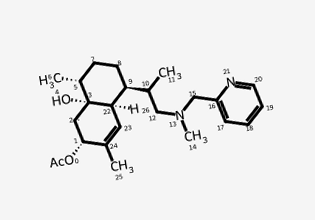 CC(=O)O[C@@H]1[CH][C@@]2(O)[C@H](C)CC[C@@H](C(C)CN(C)Cc3ccccn3)[C@H]2C=C1C